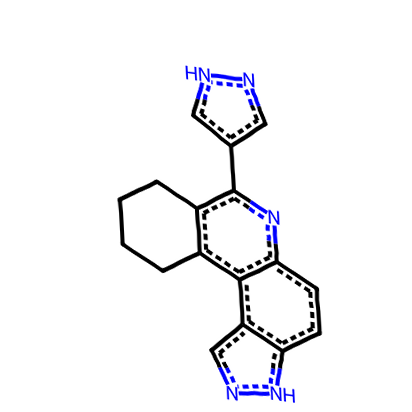 c1n[nH]cc1-c1nc2ccc3[nH]ncc3c2c2c1CCCC2